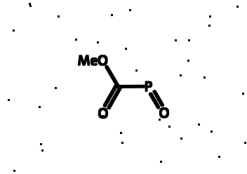 COC(=O)P=O